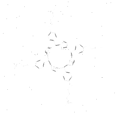 CCCCCCCCCCCOc1ccc(-c2c3nc(c(-c4ccc(OCCCN(C)C)cc4)c4ccc([nH]4)c(-c4ccc(OCCCN(C)C)cc4)c4nc(c(-c5ccc(OCCCN(C)C)cc5)c5ccc2[nH]5)C=C4)C=C3)cc1